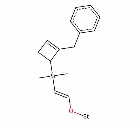 CCOC=C[Si](C)(C)C1CC=C1Cc1ccccc1